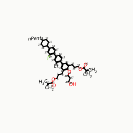 C=C(C)C(=O)OCCCc1cc(-c2ccc(-c3ccc(C4CCC(CCCCC)CC4)cc3F)cc2CC)cc(CCCOC(=O)C(=C)C)c1OCCCO